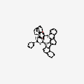 c1ccc(-c2nc(-c3ccccc3)nc(-n3c4ccc5ccccc5c4c4ccc5c6ccccc6n(-c6ccc7ccccc7c6)c5c43)n2)cc1